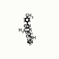 Cc1ccc(-c2nc(C[S+]([O-])CC(=O)Nc3nccs3)c(C)o2)cc1